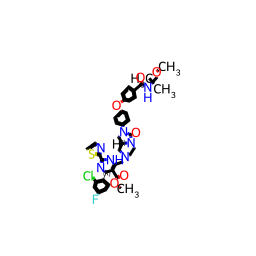 COCC(C)(C)NC(=O)c1ccc(Oc2ccc(N3C[C@@H]4CN(CC5=C(C(=O)OC)[C@H](c6ccc(F)cc6Cl)N=C(c6nccs6)N5)CCN4C3=O)cc2)cc1